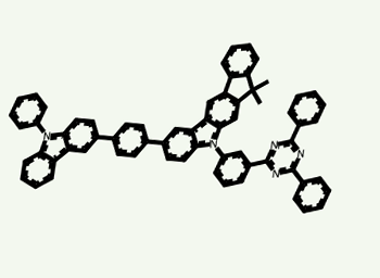 CC1(C)c2ccccc2-c2cc3c4cc(-c5ccc(-c6ccc7c(c6)c6ccccc6n7-c6ccccc6)cc5)ccc4n(-c4cccc(-c5nc(-c6ccccc6)nc(-c6ccccc6)n5)c4)c3cc21